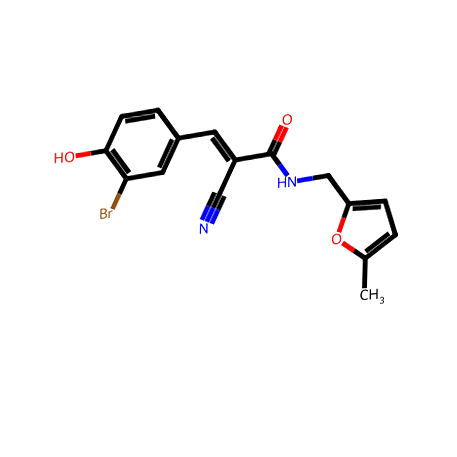 Cc1ccc(CNC(=O)/C(C#N)=C/c2ccc(O)c(Br)c2)o1